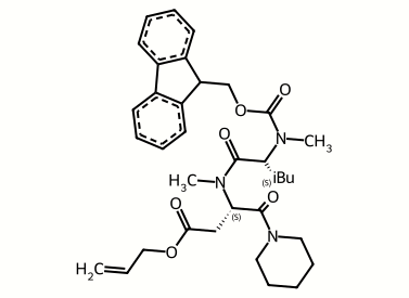 C=CCOC(=O)C[C@@H](C(=O)N1CCCCC1)N(C)C(=O)C([C@@H](C)CC)N(C)C(=O)OCC1c2ccccc2-c2ccccc21